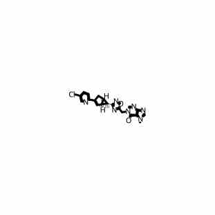 Cn1cnc2ncn(Cc3nc([C@@H]4[C@H]5C=C(c6ccc(Cl)cn6)C[C@H]54)no3)c(=O)c21